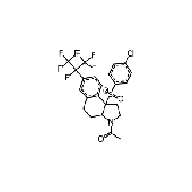 CC(=O)N1CCC2(S(=O)(=O)c3ccc(Cl)cc3)c3ccc(C(F)(C(F)(F)F)C(F)(F)F)cc3CCC12